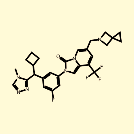 Cn1cnnc1C(c1cc(F)cc(-n2cc3c(C(F)(F)F)cc(CN4CC5(CC5)C4)cn3c2=O)c1)C1CCC1